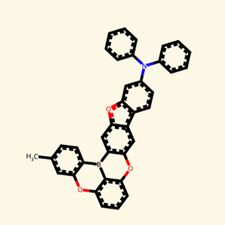 Cc1ccc2c(c1)Oc1cccc3c1B2c1cc2oc4cc(N(c5ccccc5)c5ccccc5)ccc4c2cc1O3